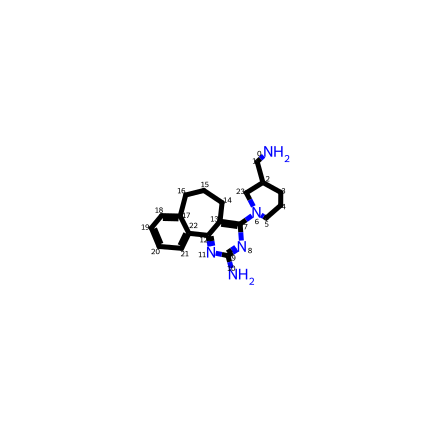 NCC1CCCN(c2nc(N)nc3c2CCCc2ccccc2-3)C1